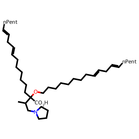 CCCCCC=CCC=CCCCCCCCCOC(CCCCCCC=CCC=CCCCCC)(C(=O)O)C(C)CN1CCCC1